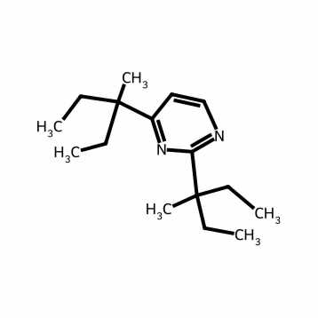 CCC(C)(CC)c1ccnc(C(C)(CC)CC)n1